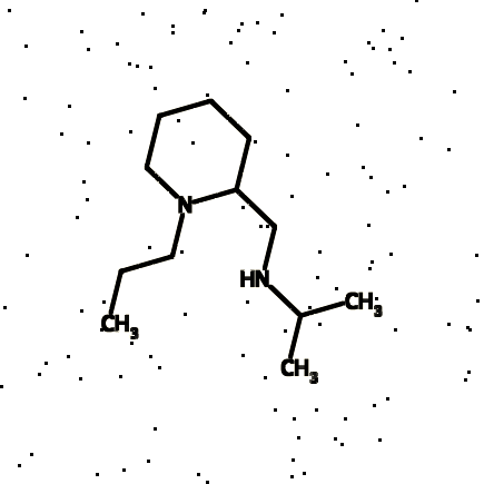 CCCN1CCCCC1CNC(C)C